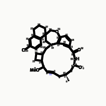 COC1/C=C/C[C@@H](C)C[S+]([O-])NC(=O)c2ccc3c(c2)N(CC2CCC21)CC1(CCCc2cc(Cl)ccc21)CO3